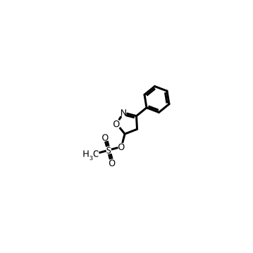 CS(=O)(=O)OC1CC(c2ccccc2)=NO1